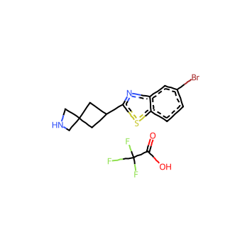 Brc1ccc2sc(C3CC4(CNC4)C3)nc2c1.O=C(O)C(F)(F)F